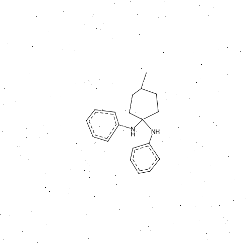 CC1CCC(Nc2ccccc2)(Nc2ccccc2)CC1